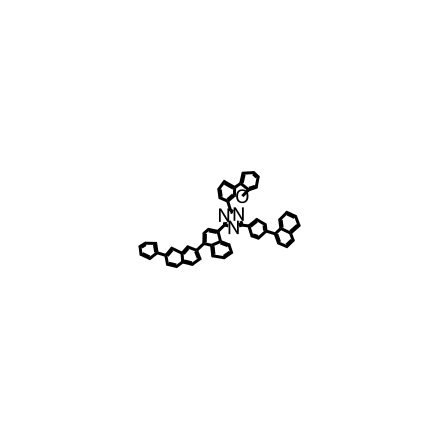 c1ccc(-c2ccc3ccc(-c4ccc(-c5nc(-c6ccc(-c7cccc8ccccc78)cc6)nc(-c6cccc7c6oc6ccccc67)n5)c5ccccc45)cc3c2)cc1